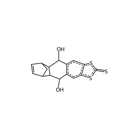 OC1c2cc3sc(=S)sc3cc2C(O)C2C3C=CC(C3)C12